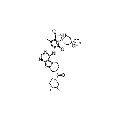 Cc1cc(Nc2ncnc3sc4c(c23)CC[C@H](C(=O)N2CCN(C)C(C)C2)C4)c(=O)n2c1C(=O)N[C@]21CC[C@@](O)(C(F)(F)F)CC1